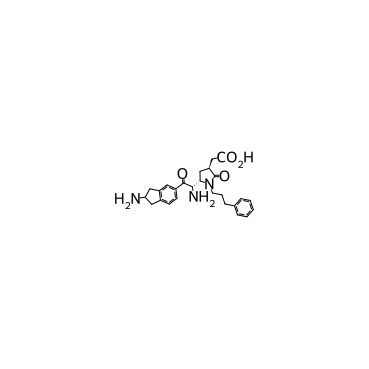 NC1Cc2ccc(C(=O)C(N)[C@@H]3C[C@@H](CC(=O)O)C(=O)N3CCCc3ccccc3)cc2C1